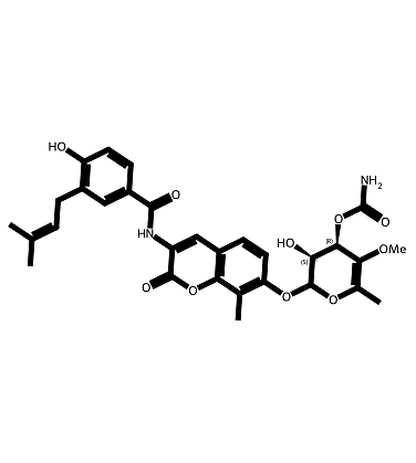 COC1=C(C)OC(Oc2ccc3cc(NC(=O)c4ccc(O)c(CC=C(C)C)c4)c(=O)oc3c2C)[C@@H](O)[C@H]1OC(N)=O